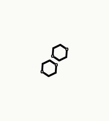 C1COCCO1.C1COCCO1